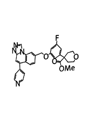 COC(=O)C1(c2cc(F)cc(OCc3ccc4c(-c5ccncc5)cc5nncn5c4c3)c2)CCOCC1